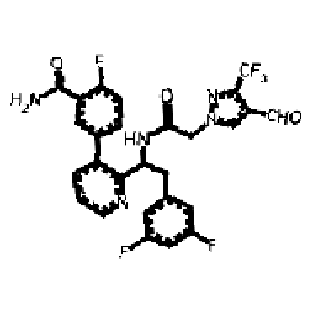 NC(=O)c1cc(-c2cccnc2C(Cc2cc(F)cc(F)c2)NC(=O)Cn2cc(C=O)c(C(F)(F)F)n2)ccc1F